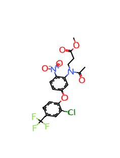 COC(=O)CCN(C(C)=O)c1cc(Oc2ccc(C(F)(F)F)cc2Cl)ccc1[N+](=O)[O-]